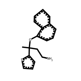 CC(CCN)(Oc1cccc2ccccc12)c1cccs1